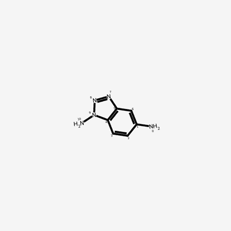 Nc1ccc2c(c1)nnn2N